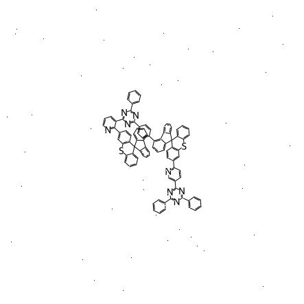 c1ccc(-c2nc(-c3ccccc3)nc(-c3ccc(-c4ccc5c(c4)Sc4ccccc4C54c5ccccc5-c5c(-c6ccc(-c7nc(-c8ccccc8)nc(-c8cccnc8-c8ccc9c(c8)Sc8ccccc8C98c9ccccc9-c9ccccc98)n7)cc6)cccc54)nc3)n2)cc1